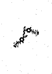 CCN(CCCN(CC)c1ccc(N=Nc2nccs2)c(C)c1)c1ccc(N=Nc2nccs2)c(C)c1